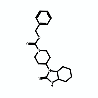 O=C(OCc1ccccc1)N1CCC(N2C(=O)NC3CCCCC32)CC1